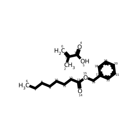 C=C(C)C(=O)O.CCCCCCCC(=O)OCc1ccccc1